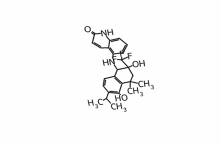 CC(C)c1ccc2c(c1O)C(C)(C)CC(O)(C(F)(F)F)C2Nc1cccc2[nH]c(=O)ccc12